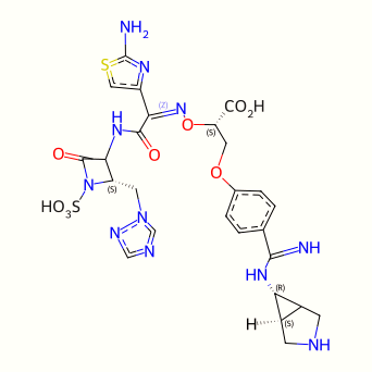 N=C(N[C@@H]1C2CNC[C@H]21)c1ccc(OC[C@H](O/N=C(\C(=O)NC2C(=O)N(S(=O)(=O)O)[C@H]2Cn2cncn2)c2csc(N)n2)C(=O)O)cc1